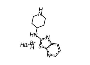 Br.Br.c1cnc2sc(NC3CCNCC3)nc2c1